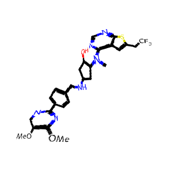 COc1cnc(-c2ccc(CNC3CC(O)C(N(C)c4ncnc5sc(CC(F)(F)F)cc45)C3)cc2)nc1OC